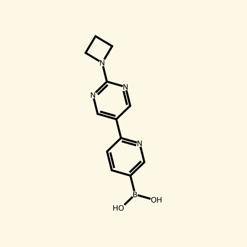 OB(O)c1ccc(-c2cnc(N3CCC3)nc2)nc1